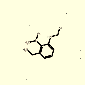 CC(=O)CNc1cccc(CN)c1N(C)C(C)=O